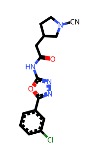 N#CN1CCC(CC(=O)Nc2nnc(-c3cccc(Cl)c3)o2)C1